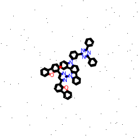 c1ccc(-c2nc(-c3ccccc3)nc(-c3cccc(-n4c5ccccc5c5c4ccc4c6ccccc6n(-c6nc(-c7cccc8c7oc7ccccc78)cc(-c7cccc8c7oc7ccccc78)n6)c45)c3)n2)cc1